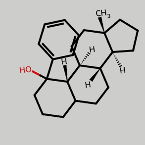 C[C@@]12CCC[C@H]1[C@@H]1CCC3CCCC(O)(c4ccccc4)[C@@H]3[C@H]1CC2